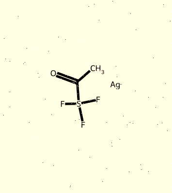 CC(=O)S(F)(F)F.[Ag]